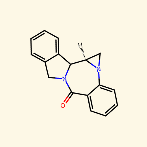 O=C1c2ccccc2N2C[C@@H]2C2c3ccccc3CN12